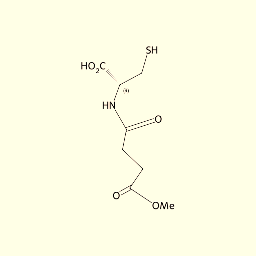 COC(=O)CCC(=O)N[C@@H](CS)C(=O)O